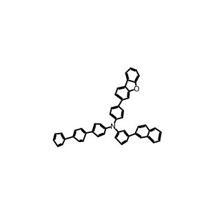 c1ccc(-c2ccc(-c3ccc(N(c4ccc(-c5ccc6c(c5)oc5ccccc56)cc4)c4cccc(-c5ccc6ccccc6c5)c4)cc3)cc2)cc1